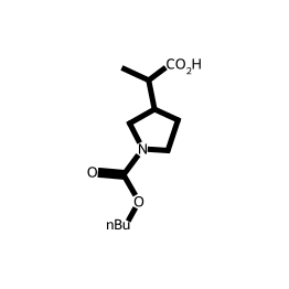 CCCCOC(=O)N1CCC(C(C)C(=O)O)C1